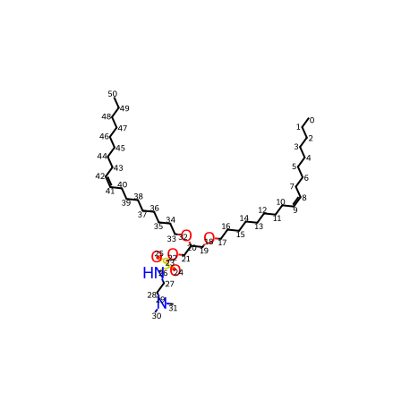 CCCCCCCC/C=C\CCCCCCCCOCC(COS(=O)(=O)NCCN(C)C)OCCCCCCCC/C=C\CCCCCCCC